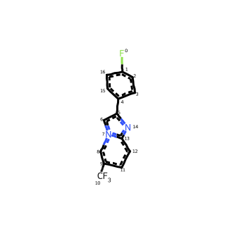 Fc1ccc(-c2cn3cc(C(F)(F)F)ccc3n2)cc1